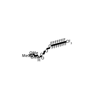 CO[Si](CCCNC(=O)OCCOCCOC(F)(F)C(F)(F)C(F)(F)C(F)(F)C(F)(F)C(F)(F)C(F)(F)C(F)(F)F)(OC)OC